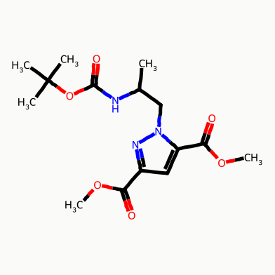 COC(=O)c1cc(C(=O)OC)n(CC(C)NC(=O)OC(C)(C)C)n1